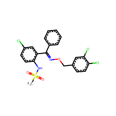 O=S(=O)(Nc1ccc(Cl)cc1C(=NOCc1ccc(Cl)c(Cl)c1)c1ccccc1)C(F)(F)F